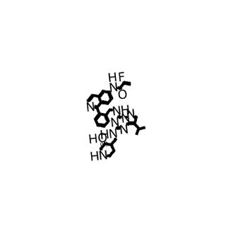 C=C(F)C(=O)Nc1ccc2c(-c3ccccc3CNc3nc(NCC4CCNC[C@@H]4O)nc4c(C(C)C)cnn34)nccc2c1